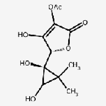 CC(=O)OC1=C(O)[C@@H]([C@@]2(O)C(O)C2(C)C)OC1=O